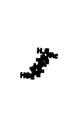 CC(=O)N(C)c1cnc(-c2ccc(CO)cc2)cn1